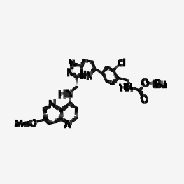 COc1cnc2c(NCc3nnc4ccc(-c5ccc(CNC(=O)OC(C)(C)C)c(Cl)c5)nn34)ccnc2c1